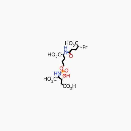 CC(C)[C@@H](CCC(=O)N[C@@H](CCCOP(=O)(O)N[C@@H](CCC(=O)O)C(=O)O)C(=O)O)C(=O)O